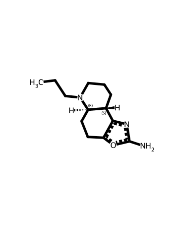 CCCN1CCC[C@@H]2c3nc(N)oc3CC[C@H]21